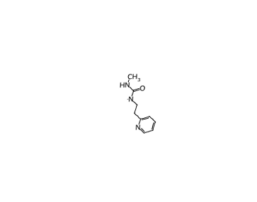 CNC(=O)[N]CCc1ccccn1